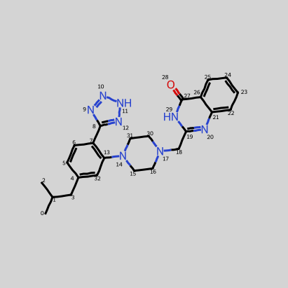 CC(C)Cc1ccc(-c2nn[nH]n2)c(N2CCN(Cc3nc4ccccc4c(=O)[nH]3)CC2)c1